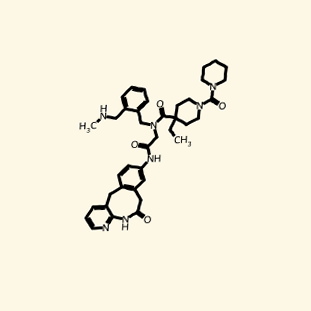 CCC1(C(=O)N(CC(=O)Nc2ccc3c(c2)CC(=O)Nc2ncccc2C3)Cc2ccccc2CNC)CCN(C(=O)N2CCCCC2)CC1